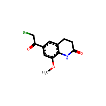 COc1cc(C(=O)CBr)cc2c1NC(=O)CC2